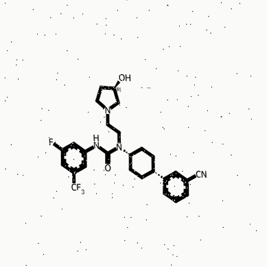 N#Cc1cccc([C@H]2CC[C@@H](N(CCN3CC[C@@H](O)C3)C(=O)Nc3cc(F)cc(C(F)(F)F)c3)CC2)c1